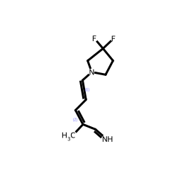 C/C(C=N)=C/C=C/N1CCC(F)(F)C1